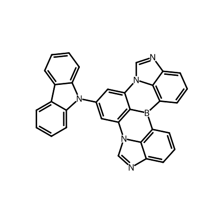 c1cc2c3c(c1)ncn3-c1cc(-n3c4ccccc4c4ccccc43)cc3c1B2c1cccc2ncn-3c12